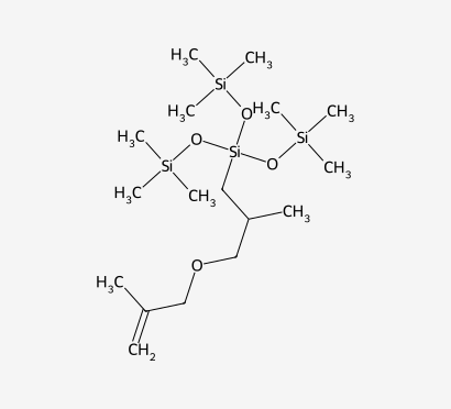 C=C(C)COCC(C)C[Si](O[Si](C)(C)C)(O[Si](C)(C)C)O[Si](C)(C)C